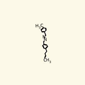 C/C=C/CCc1ccc(C=NN=Cc2ccc(C)cc2)cc1